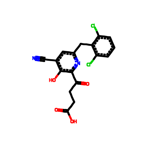 N#Cc1cc(Cc2c(Cl)cccc2Cl)nc(C(=O)CCC(=O)O)c1O